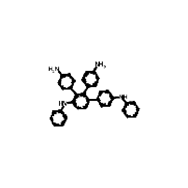 Nc1ccc(-c2c(Nc3ccccc3)ccc(-c3ccc(Nc4ccccc4)cc3)c2-c2ccc(N)cc2)cc1